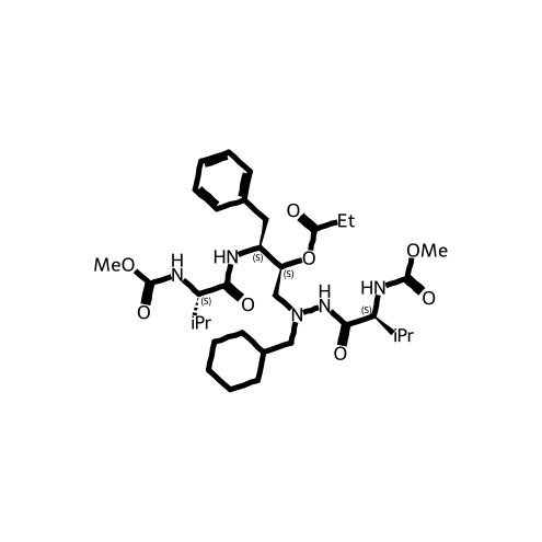 CCC(=O)O[C@@H](CN(CC1CCCCC1)NC(=O)[C@@H](NC(=O)OC)C(C)C)[C@H](Cc1ccccc1)NC(=O)[C@@H](NC(=O)OC)C(C)C